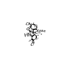 COc1ncc(Cl)cc1[C@@]1(C)C(=O)Nc2cc(Cl)ccc21